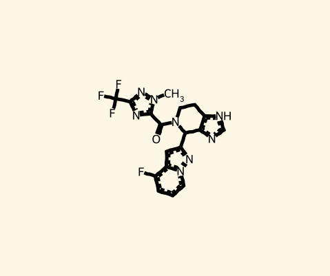 Cn1nc(C(F)(F)F)nc1C(=O)N1CCc2[nH]cnc2C1c1cc2c(F)cccn2n1